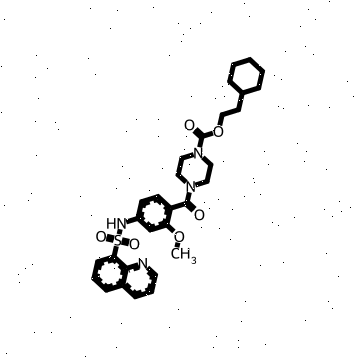 COc1cc(NS(=O)(=O)c2cccc3cccnc23)ccc1C(=O)N1CCN(C(=O)OCCC2CCCCC2)CC1